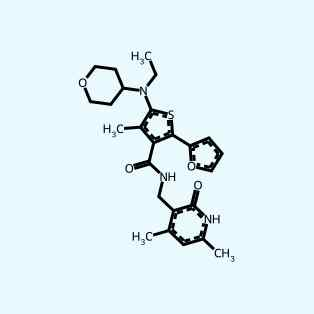 CCN(c1sc(-c2ccco2)c(C(=O)NCc2c(C)cc(C)[nH]c2=O)c1C)C1CCOCC1